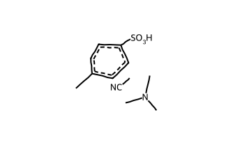 CC#N.CN(C)C.Cc1ccc(S(=O)(=O)O)cc1